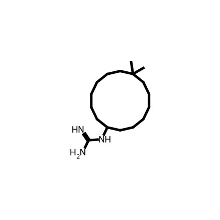 CC1(C)CCCCCCC(NC(=N)N)CCCCCC1